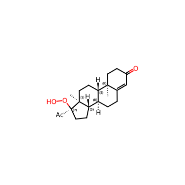 CC(=O)[C@@]1(OO)CC[C@H]2[C@@H]3CCC4=CC(=O)CC[C@]4(C)[C@H]3CC[C@@]21C